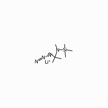 CN(C(C)(C)C)[Si](C)(C)C.[Li+].[N-]=[N+]=[N-]